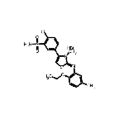 Br.CCOc1ccc(C)cc1N=c1scc(-c2ccc(Cl)c(S(N)(=O)=O)c2)n1C